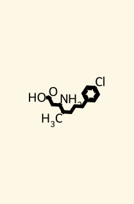 CC(CCCc1ccc(Cl)cc1)C(N)CC(=O)O